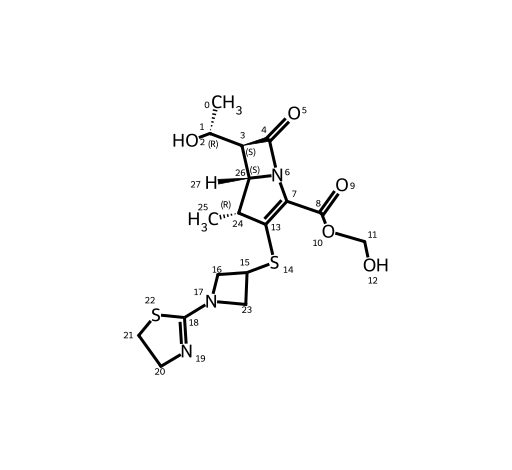 C[C@@H](O)[C@H]1C(=O)N2C(C(=O)OCO)=C(SC3CN(C4=NCCS4)C3)[C@H](C)[C@H]12